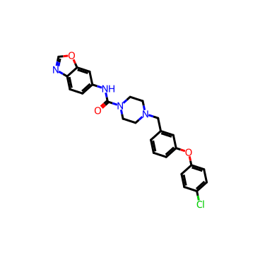 O=C(Nc1ccc2ncoc2c1)N1CCN(Cc2cccc(Oc3ccc(Cl)cc3)c2)CC1